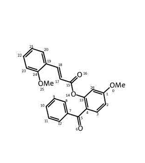 COc1ccc(C(=O)c2ccccc2)c(OC(=O)/C=C/c2ccccc2OC)c1